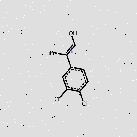 CC(C)/C(=C\O)c1ccc(Cl)c(Cl)c1